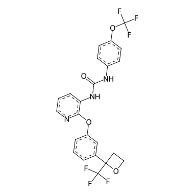 O=C(Nc1ccc(OC(F)(F)F)cc1)Nc1cccnc1Oc1cccc(C2(C(F)(F)F)CCO2)c1